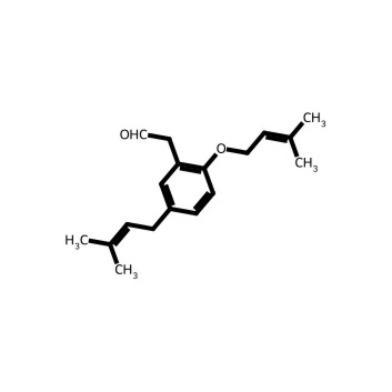 CC(C)=CCOc1ccc(CC=C(C)C)cc1CC=O